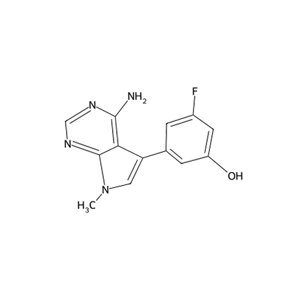 Cn1cc(-c2cc(O)cc(F)c2)c2c(N)ncnc21